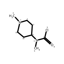 CN1CCC(N(C)C(=O)Cl)CC1